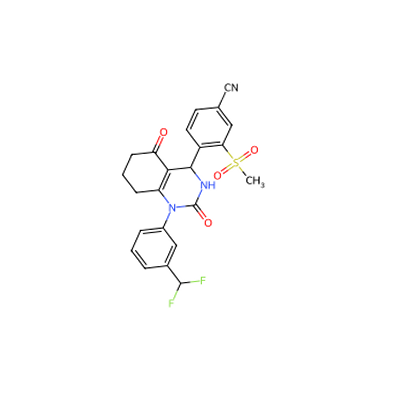 CS(=O)(=O)c1cc(C#N)ccc1C1NC(=O)N(c2cccc(C(F)F)c2)C2=C1C(=O)CCC2